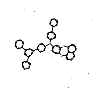 c1ccc(-c2ccc(N(c3ccc(-c4cc(-c5ccccc5)cc(-c5ccccc5)c4)cc3)c3ccc4c(c3)Oc3cccc5cccc(c35)O4)cc2)cc1